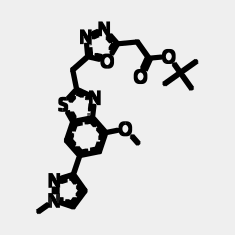 COc1cc(-c2ccn(C)n2)cc2sc(Cc3nnc(CC(=O)OC(C)(C)C)o3)nc12